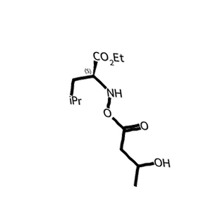 CCOC(=O)[C@H](CC(C)C)NOC(=O)CC(C)O